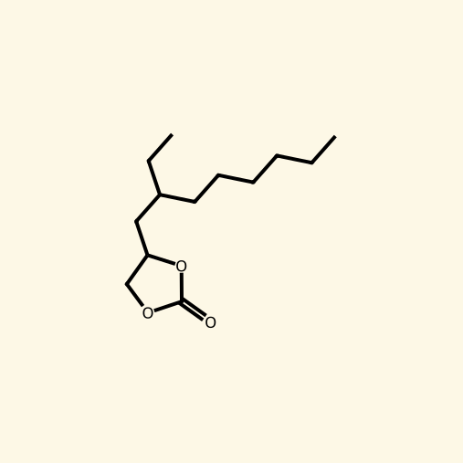 CCCCCCC(CC)CC1COC(=O)O1